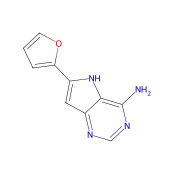 Nc1ncnc2cc(-c3ccco3)[nH]c12